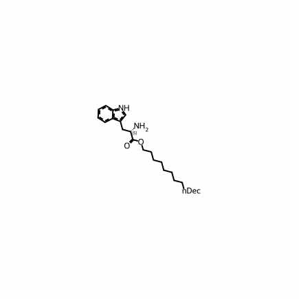 CCCCCCCCCCCCCCCCCCOC(=O)[C@@H](N)Cc1c[nH]c2ccccc12